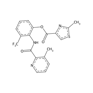 Cc1nc(C(=O)Oc2cccc(C(F)(F)F)c2NC(=O)c2ncccc2C)cs1